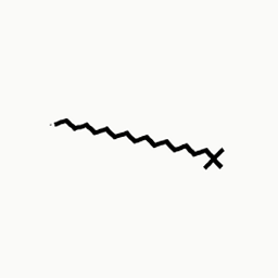 [CH2]CCCCCCCCCCCCCCCC(C)(C)C